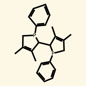 CC1=C(C)C(C2C(C)=C(C)CP2c2ccccc2)P(c2ccccc2)C1